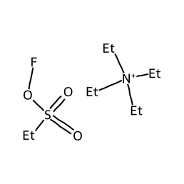 CCS(=O)(=O)OF.CC[N+](CC)(CC)CC